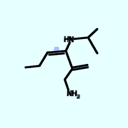 C=C(CN)/C(=C\CC)NC(C)C